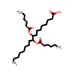 CCCCCCCCC(OC(=O)CCCCC)C(CCCCCCCC(=O)O)OC(=O)CCCCC